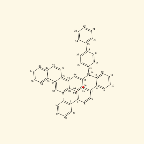 c1ccc(-c2ccc(-c3ccccc3N(c3ccc(-c4ccccc4)cc3)c3ccc4ccc5c6ccccc6ccc5c4c3)cc2)cc1